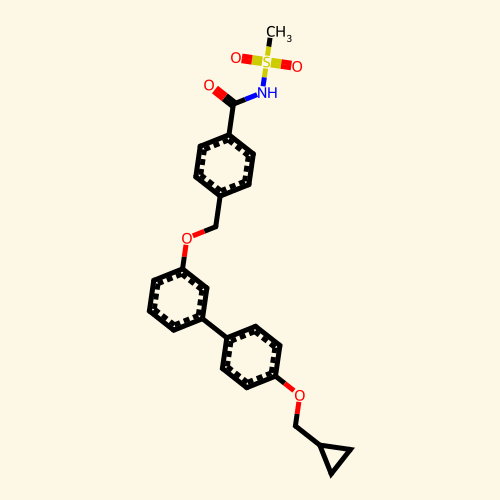 CS(=O)(=O)NC(=O)c1ccc(COc2cccc(-c3ccc(OCC4CC4)cc3)c2)cc1